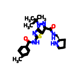 Cc1ccc(C(=O)Nc2nc3c(s2)c(C(=O)NC[C@@H]2CCCN2)nn3C(C)(C)C)cc1